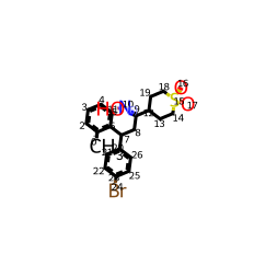 Cc1ccccc1C(C/C(=N\O)C1CCS(=O)(=O)CC1)c1ccc(Br)cc1